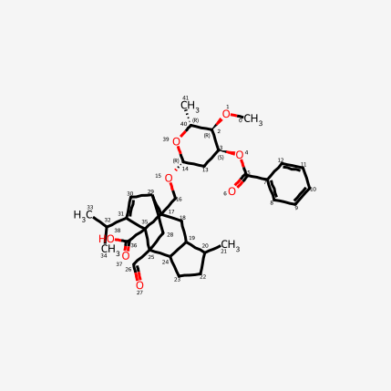 CO[C@H]1[C@@H](OC(=O)c2ccccc2)C[C@H](OCC23CC4C(C)CCC4C4(C=O)CC2C=C(C(C)C)C43C(=O)O)O[C@@H]1C